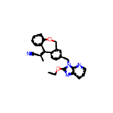 CCOc1nc2cccnc2n1Cc1ccc2c(c1)COc1ccccc1/C2=C(/C)C#N